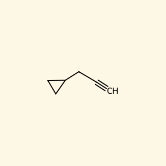 C#CCC1CC1